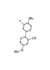 CC(C)(C)Oc1ccc(-c2ccc(C(C)(C)C)c(F)c2)c(C#N)c1